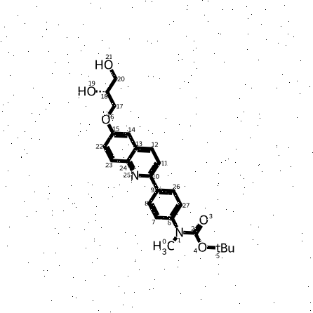 CN(C(=O)OC(C)(C)C)c1ccc(-c2ccc3cc(OC[C@H](O)CO)ccc3n2)cc1